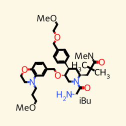 CC[C@H](C)[C@H](N)C(=O)N1C[C@H](OCc2ccc3c(c2)N(CCCOC)CCO3)[C@@H](c2ccc(COCCOC)cc2)C[C@H]1CC(C)(C)C(=O)NC